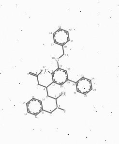 C=C(C)CC(CC(CC)C(C)Cc1ccccc1)c1cc(-c2ccccc2)cc(OCc2ccccc2)c1C(F)(F)F